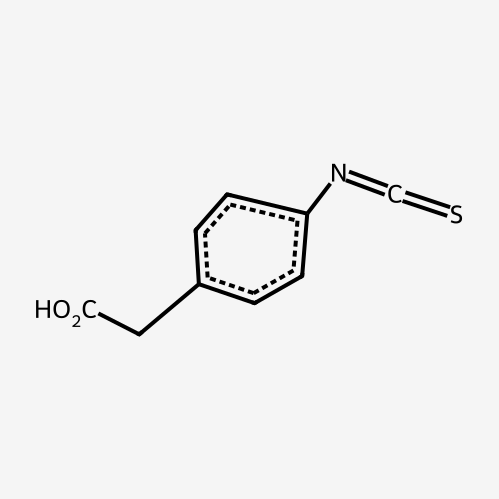 O=C(O)Cc1ccc(N=C=S)cc1